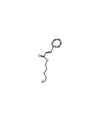 CC(C)CCCCOC(=O)C=Cc1ccccc1